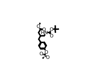 COC(=O)CC(CNC(=O)OC(C)(C)C)Cc1ccc(OS(C)(=O)=O)cc1